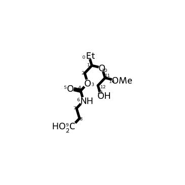 CCC(COC(=O)NCCC(=O)O)OC(CO)OC